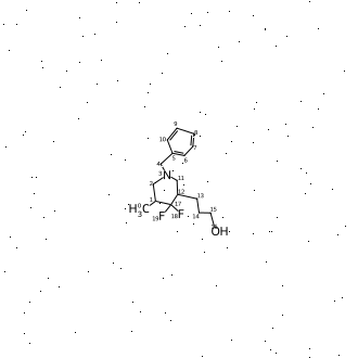 CC1CN(Cc2ccccc2)CC(CCCO)C1(F)F